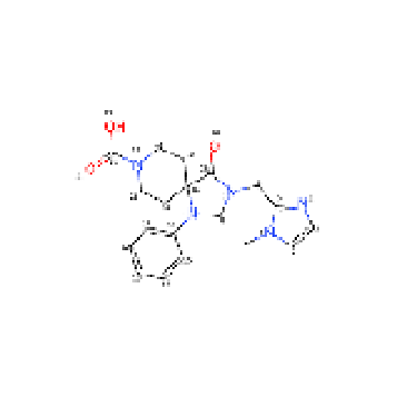 Cn1ccnc1CN1CN(c2ccccc2)C2(CCN(C(=O)O)CC2)C1=O